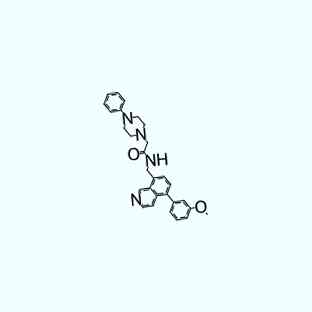 COc1cccc(-c2ccc(CNC(=O)CN3CCN(c4ccccc4)CC3)c3cnccc23)c1